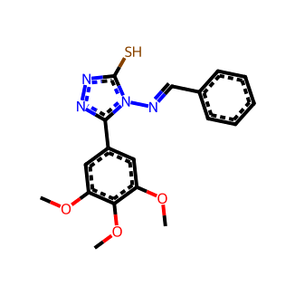 COc1cc(-c2nnc(S)n2N=Cc2ccccc2)cc(OC)c1OC